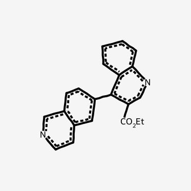 CCOC(=O)c1cnc2ccccc2c1-c1ccc2cnccc2c1